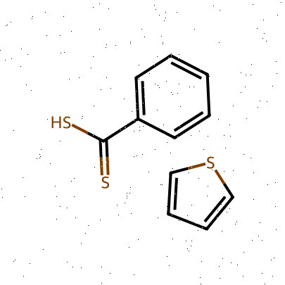 S=C(S)c1ccccc1.c1ccsc1